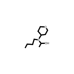 CCCCN(C(C)O)C1CCOCC1